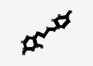 Cc1ccc(C=CC=Cc2ccc(C)cc2C)cc1